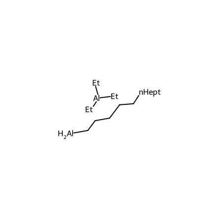 CCCCCCCCCCC[CH2][AlH2].C[CH2][Al]([CH2]C)[CH2]C